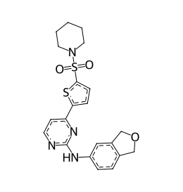 O=S(=O)(c1ccc(-c2ccnc(Nc3ccc4c(c3)COC4)n2)s1)N1CCCCC1